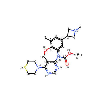 Cc1cc(C2CN(C)C2)cc2c1OCc1c(N3CCSCC3)ncnc1N2C(=O)OC(C)(C)C